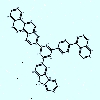 c1ccc2c(-c3ccc(-c4nc(-c5ccc6c(ccc7c8ccccc8ccc67)c5)nc(-c5ccc6oc7ccccc7c6c5)n4)cc3)cccc2c1